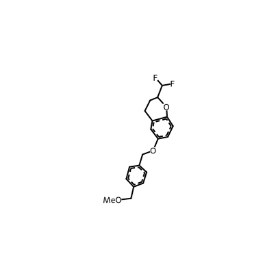 COCc1ccc(COc2ccc3c(c2)CCC(C(F)F)O3)cc1